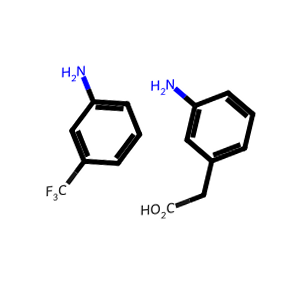 Nc1cccc(C(F)(F)F)c1.Nc1cccc(CC(=O)O)c1